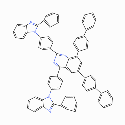 c1ccc(-c2ccc(-c3cc(-c4ccc(-c5ccccc5)cc4)c4nc(-c5ccc(-n6c(-c7ccccc7)nc7ccccc76)cc5)nc(-c5ccc(-n6c(-c7ccccc7)nc7ccccc76)cc5)c4c3)cc2)cc1